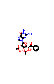 CC(=O)O[C@@H]1[C@H](OC(C)=O)[C@@H](C(O)C(=O)c2ccccc2)O[C@H]1n1cnc2c(=O)[nH]c(N)nc21